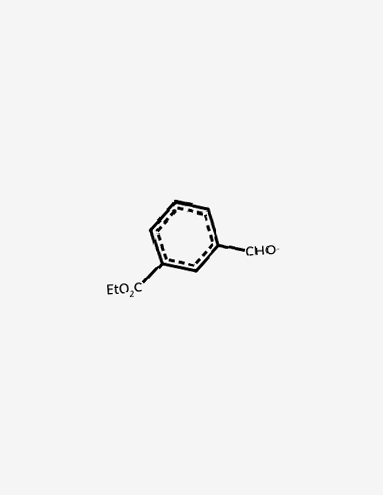 CCOC(=O)c1cccc([C]=O)c1